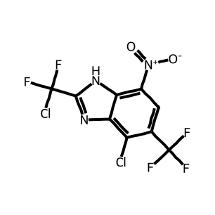 O=[N+]([O-])c1cc(C(F)(F)F)c(Cl)c2nc(C(F)(F)Cl)[nH]c12